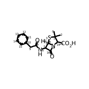 CC1(C)S[C@@H]2C(NC(=O)Cc3ccccc3)C(=O)N2C1C(=O)O